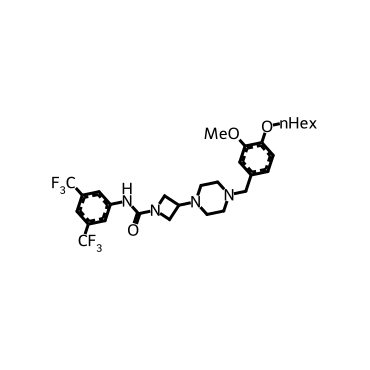 CCCCCCOc1ccc(CN2CCN(C3CN(C(=O)Nc4cc(C(F)(F)F)cc(C(F)(F)F)c4)C3)CC2)cc1OC